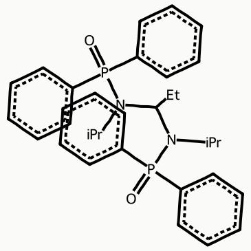 CCC(N(C(C)C)P(=O)(c1ccccc1)c1ccccc1)N(C(C)C)P(=O)(c1ccccc1)c1ccccc1